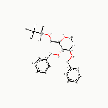 CC(C)(C)[Si](C)(C)OC[C@H]1OCC[C@@H](OCc2ccccc2)[C@@H]1OCc1ccccc1